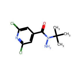 CC(C)(C)N(N)C(=O)c1cc(Cl)nc(Cl)c1